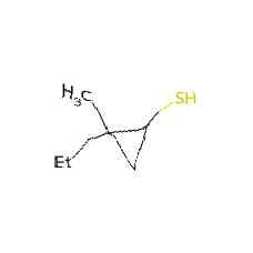 CCC1(C)CC1S